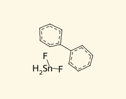 [F][SnH2][F].c1ccc(-c2ccccc2)cc1